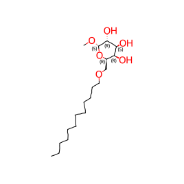 CCCCCCCCCCCCOC[C@H]1O[C@H](OC)[C@H](O)[C@@H](O)[C@H]1O